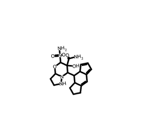 NC(=O)C1(O)C(C2C3C=CC=C3C=C3CCCC32)N2NCCC2OC1S(N)(=O)=O